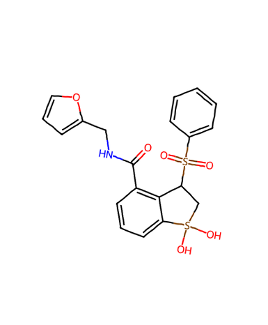 O=C(NCc1ccco1)c1cccc2c1C(S(=O)(=O)c1ccccc1)CS2(O)O